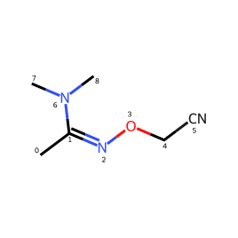 CC(=NOCC#N)N(C)C